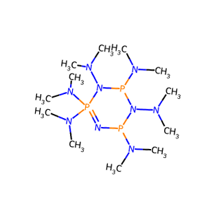 CN(C)N1P(N(C)C)N=P(N(C)C)(N(C)C)N(N(C)C)P1N(C)C